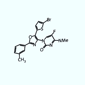 CNc1nc(=O)n(-c2nc(-c3cccc(C)c3)oc2-c2ccc(Br)s2)cc1F